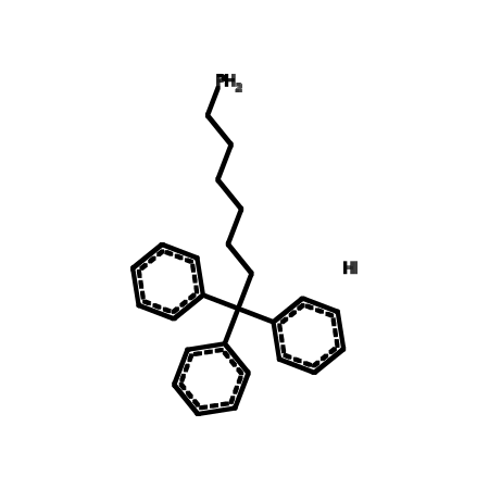 I.PCCCCCCC(c1ccccc1)(c1ccccc1)c1ccccc1